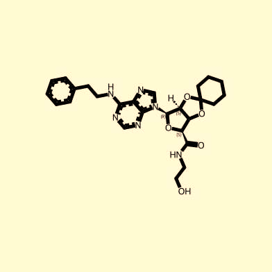 O=C(NCCO)[C@H]1O[C@@H](n2cnc3c(NCCc4ccccc4)ncnc32)[C@H]2OC3(CCCCC3)OC12